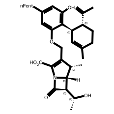 C=C(C)[C@@H]1CCC(C)=C[C@H]1c1c(O)cc(CCCCC)cc1OCC1=C(C(=O)O)N2C(=O)[C@H]([C@@H](C)O)[C@H]2[C@H]1C